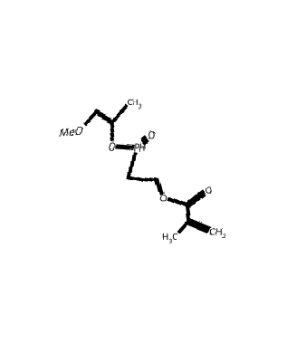 C=C(C)C(=O)OCC[PH](=O)OC(C)COC